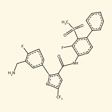 CS(=O)(=O)c1c(-c2ccccc2)ccc(NC(=O)c2cc(C(F)(F)F)nn2-c2ccc(F)c(CN)c2)c1F